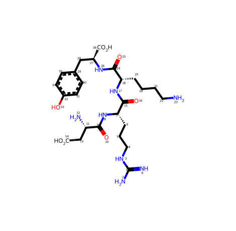 N=C(N)NCCC[C@H](NC(=O)[C@@H](N)CC(=O)O)C(=O)N[C@@H](CCCCN)C(=O)N[C@@H](Cc1ccc(O)cc1)C(=O)O